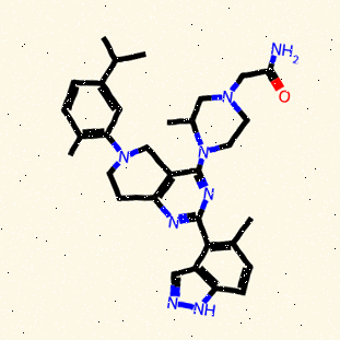 Cc1ccc(C(C)C)cc1N1CCc2nc(-c3c(C)ccc4[nH]ncc34)nc(N3CCN(CC(N)=O)CC3C)c2C1